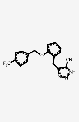 N#Cc1[nH]nnc1Cc1ccccc1OCc1ccc(C(F)(F)F)cc1